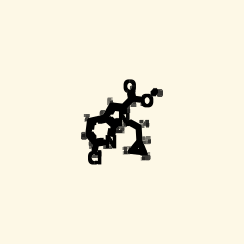 COC(=O)c1cc2ccc(Cl)nc2n1CC1CC1